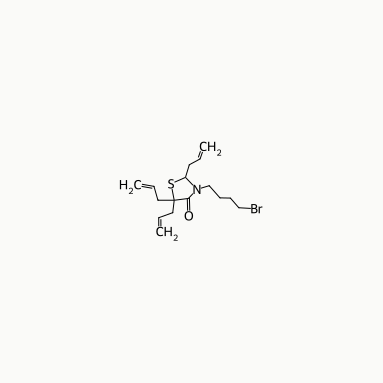 C=CCC1SC(CC=C)(CC=C)C(=O)N1CCCCBr